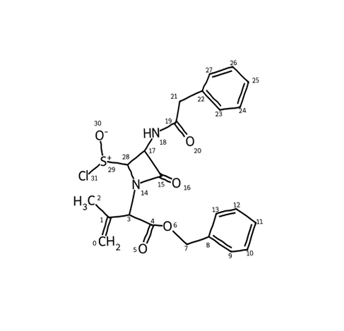 C=C(C)C(C(=O)OCc1ccccc1)N1C(=O)C(NC(=O)Cc2ccccc2)C1[S+]([O-])Cl